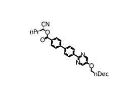 CCCCCCCCCCCOc1cnc(-c2ccc(-c3ccc(C(=O)O[C@@H](C#N)CCC)cc3)cc2)nc1